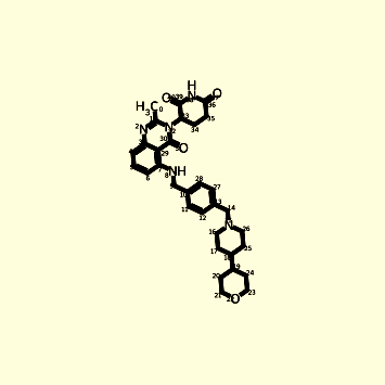 Cc1nc2cccc(NCc3ccc(CN4CCC(C5CCOCC5)CC4)cc3)c2c(=O)n1C1CCC(=O)NC1=O